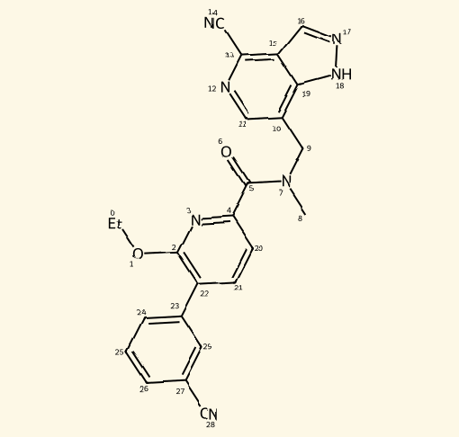 CCOc1nc(C(=O)N(C)Cc2cnc(C#N)c3cn[nH]c23)ccc1-c1cccc(C#N)c1